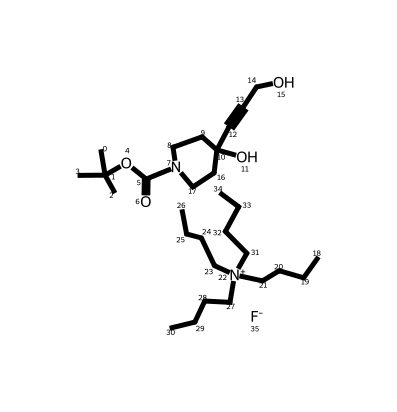 CC(C)(C)OC(=O)N1CCC(O)(C#CCO)CC1.CCCC[N+](CCCC)(CCCC)CCCC.[F-]